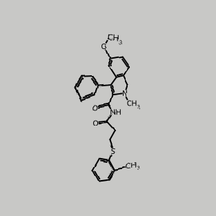 COc1ccc2c(c1)C(c1ccccc1)=C(C(=O)NC(=O)CCSc1ccccc1C)N(C)C2